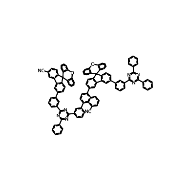 N#Cc1ccc2c(c1)-c1cc(-c3cccc(-c4nc(-c5ccccc5)nc(-c5cccc(-c6ccc(-c7ccc8c(c7)-c7cc(-c9cccc(-c%10nc(-c%11ccccc%11)nc(-c%11ccccc%11)n%10)c9)ccc7C87c8ccccc8Oc8ccccc87)c7cccc(C#N)c67)c5)n4)c3)ccc1C21c2ccccc2Oc2ccccc21